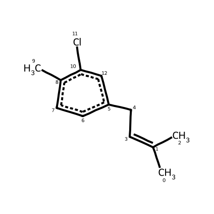 CC(C)=CCc1ccc(C)c(Cl)c1